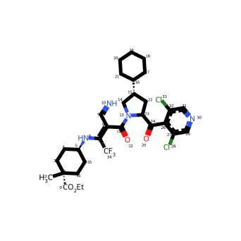 CCOC(=O)[C@]1(C)CC[C@@H](N/C(=C(\C=N)C(=O)N2C[C@H](C3CCCCC3)CC2C(=O)c2c(Cl)cncc2Cl)C(F)(F)F)CC1